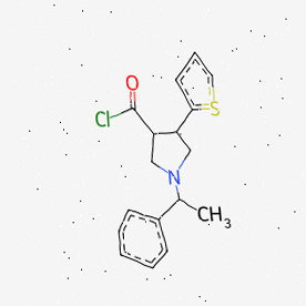 CC(c1ccccc1)N1CC(C(=O)Cl)C(c2cccs2)C1